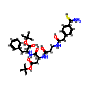 CC(C)(C)OC(=O)C[C@H](NC(=O)CCNC(=O)Cc1ccc(C(N)=S)cc1)C(=O)N[C@@H](Cc1ccccc1)C(=O)OC(C)(C)C